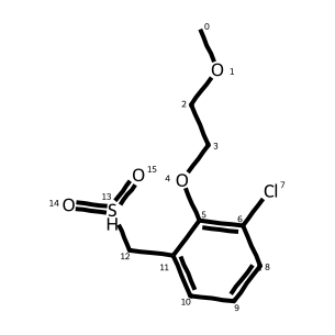 COCCOc1c(Cl)[c]ccc1C[SH](=O)=O